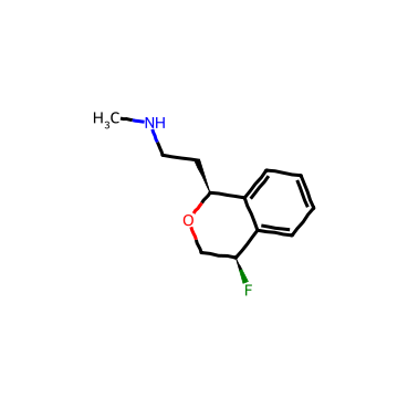 CNCC[C@@H]1OC[C@H](F)c2ccccc21